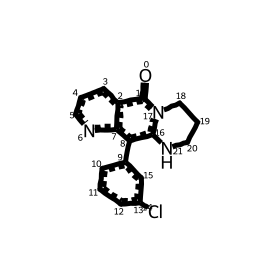 O=c1c2cccnc2c(-c2cccc(Cl)c2)c2n1CCCN2